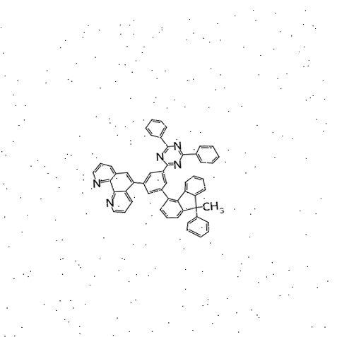 CC1(c2ccccc2)c2ccccc2-c2c(-c3cc(-c4nc(-c5ccccc5)nc(-c5ccccc5)n4)cc(-c4cc5cccnc5c5ncccc45)c3)cccc21